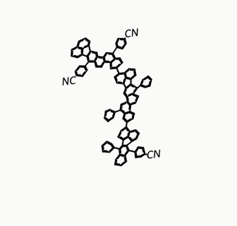 N#Cc1ccc(-c2c3c(c(-c4ccccc4)c4ccccc24)-c2ccc(-c4ccc5c(c4)c(-c4ccccc4)cc4c6cc7c(c(-c8ccccc8)c6ccc54)-c4cccc5c(-c6ccc8c(-c9ccc(C#N)cc9)cc9c%10cc%11c(c(-c%12ccc(C#N)cc%12)c%10ccc9c8c6)-c6cccc8cccc-%11c68)ccc-7c45)c4cccc-3c24)cc1